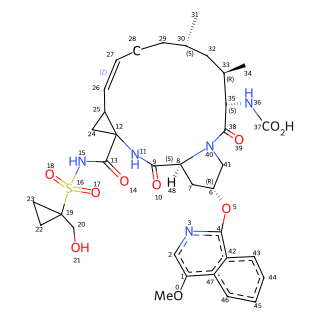 COc1cnc(O[C@@H]2C[C@H]3C(=O)NC4(C(=O)NS(=O)(=O)C5(CO)CC5)CC4/C=C\CC[C@H](C)C[C@@H](C)[C@H](NC(=O)O)C(=O)N3C2)c2ccccc12